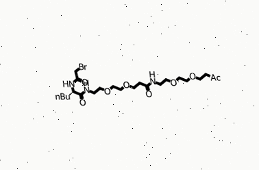 CCCC[C@H](NC(=O)CBr)C(=O)NCCOCCOCCC(=O)NCCOCCOCCC(C)=O